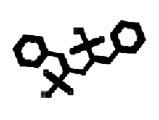 O=S(=O)(O)C(=Cc1ccccc1)OC(=Cc1ccccc1)S(=O)(=O)O